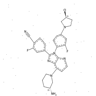 N#Cc1ccc(-c2nc3c(N4CCC[C@@H](N)C4)ccnc3n2-c2ccc(N3CC[C@H](Cl)C3)cc2F)cc1F